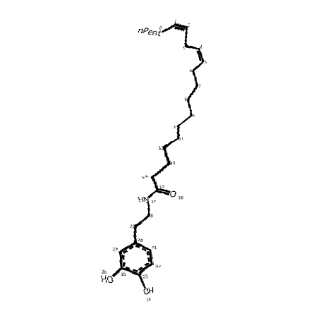 CCCCC/C=C\C/C=C\CCCCCCCCCC(=O)NCCc1ccc(O)c(O)c1